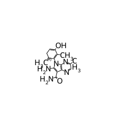 CC1=C(n2c(N)c(C(N)=O)c3ncc(C)nc32)[C@H](C)CC=C1O